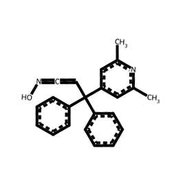 Cc1cc(C(C=C=NO)(c2ccccc2)c2ccccc2)cc(C)n1